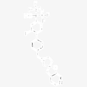 OC(c1ccc(-c2ccc(CN3CCC4(Cc5ccncc5O4)C3)cc2)c(F)c1)(C(F)(F)F)C(F)(F)F